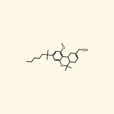 CCCCCC(C)(C)c1cc(OC)c2c(c1)OC(C)(C)C1CC=C(CO)CC21